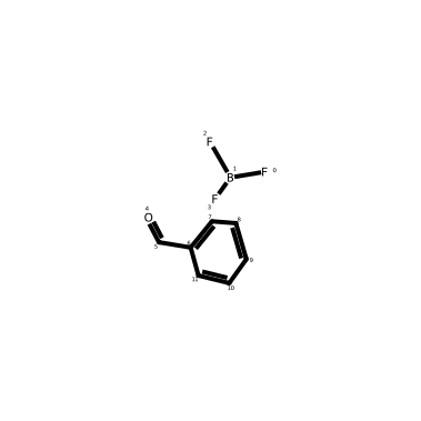 FB(F)F.O=Cc1ccccc1